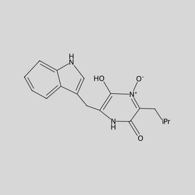 CC(C)Cc1c(=O)[nH]c(Cc2c[nH]c3ccccc23)c(O)[n+]1[O-]